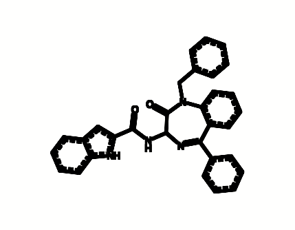 O=C(NC1N=C(c2ccccc2)c2ccccc2N(Cc2ccccc2)C1=O)c1cc2ccccc2[nH]1